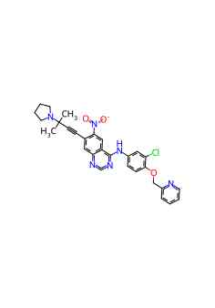 CC(C)(C#Cc1cc2ncnc(Nc3ccc(OCc4ccccn4)c(Cl)c3)c2cc1[N+](=O)[O-])N1CCCC1